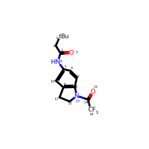 CC(C)(C)CC(=O)Nc1ccc2c(c1)CCN2C(=O)C(F)(F)F